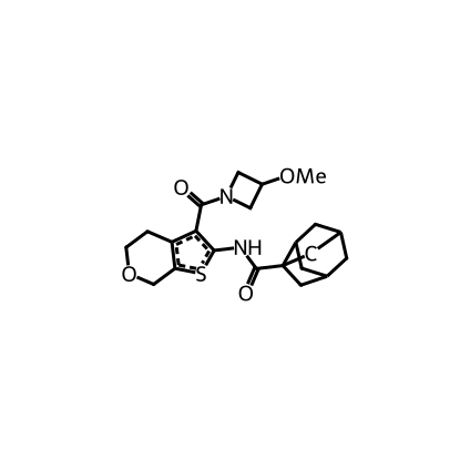 COC1CN(C(=O)c2c(NC(=O)C34CC5CC(CC3C5)C4)sc3c2CCOC3)C1